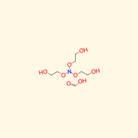 O=CO.OCCON(OCCO)OCCO